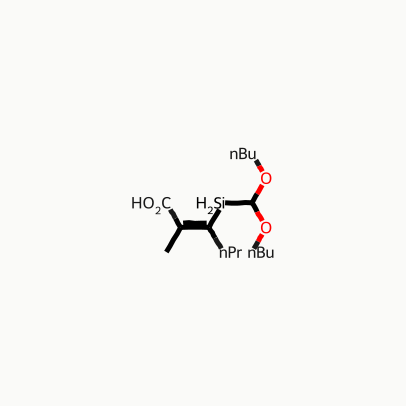 CCCCOC(OCCCC)[SiH2]C(CCC)=C(C)C(=O)O